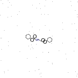 O=C(/C=C/COOC1CCCCC1)OC1CCCCC1